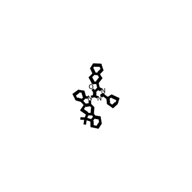 CC1(C)c2ccccc2-c2cc3c(cc21)c1ccccc1n3-c1nc(-c2ccccc2)nc2c1oc1cc3ccccc3cc12